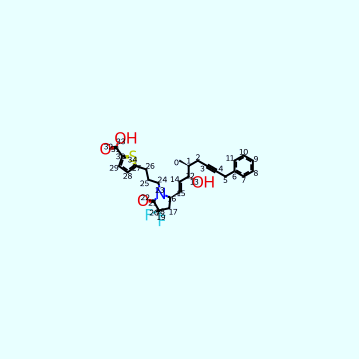 C[C@@H](CC#CCc1ccccc1)[C@H](O)C=C[C@H]1CC(F)(F)C(=O)N1CCCc1ccc(C(=O)O)s1